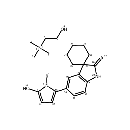 C[N+](C)(C)CCO.Cn1c(C#N)ccc1-c1ccc2c(c1)C1(CCCCC1)C(=S)N2